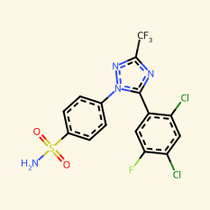 NS(=O)(=O)c1ccc(-n2nc(C(F)(F)F)nc2-c2cc(F)c(Cl)cc2Cl)cc1